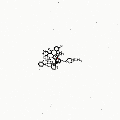 Cc1cc(OCCN2CCN(C)CC2)cc(C)c1-c1c(-c2ccc(F)cc2)sc2ncnc(O[C@H](Cc3ccccc3OCc3ccnc(-c4cccc(CO)c4)n3)C(=O)O)c12